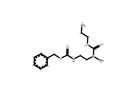 CC(C)(C)N(CCNC(=O)OCc1ccccc1)C(=O)OCCN